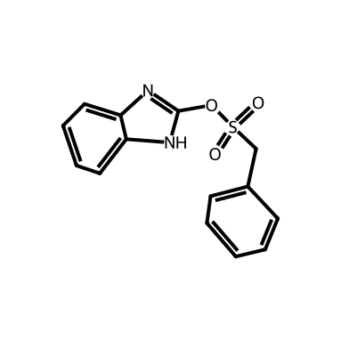 O=S(=O)(Cc1ccccc1)Oc1nc2ccccc2[nH]1